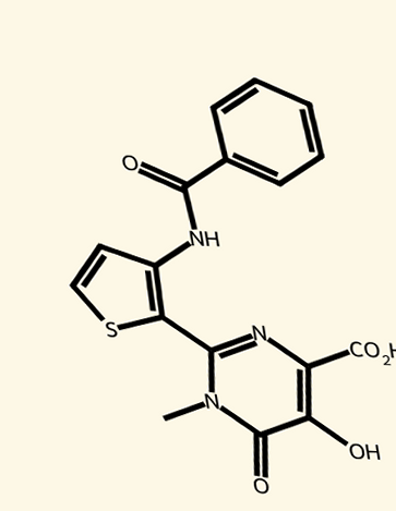 Cn1c(-c2sccc2NC(=O)c2ccccc2)nc(C(=O)O)c(O)c1=O